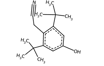 CC(C)(C)c1cc(O)cc(C(C)(C)C)c1CC#N